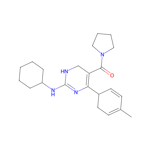 CC1=CCC(C2=C(C(=O)N3CCCC3)CNC(NC3CCCCC3)=N2)C=C1